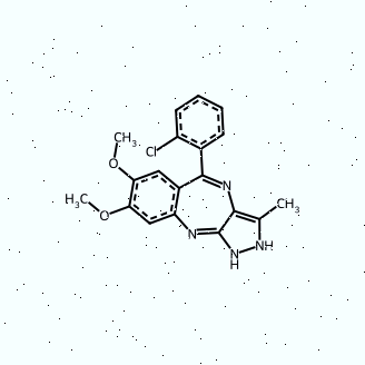 COc1cc2c(cc1OC)C(c1ccccc1Cl)=NC1=C(C)NNC1=N2